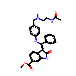 COC(=O)c1ccc2c(c1)NC(=O)C2=C(Nc1ccc(CN(C)CCNC(C)=O)cc1)c1ccccc1